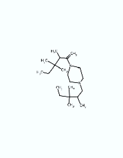 C=C(C(C)C(C)(C)CC)N1CCN(CC(C)C(C)(C)CC)CC1